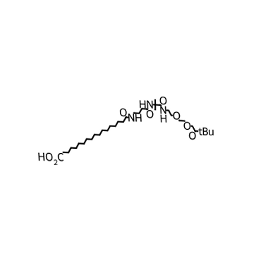 CC(C)(C)C(=O)COCCOCCNC(=O)C(C)(C)NC(=O)CCCNC(=O)CCCCCCCCCCCCCCCCC(=O)O